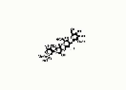 COC1C(OC2C(O)C(CO)OC(OC(C(O)C(C)C)C(O)C(O)OC(COP(=O)(O)OC)C(O)C(O)O)C2O)OC(CO)C(O)C1O